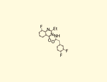 CCc1nc2c(F)cccc2c(=O)n1NC(=O)Cc1ccc(F)c(F)c1